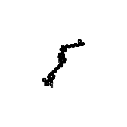 CCC(=O)CCCCCCc1ncc(-c2ccc3nc(OCCCCCN4CCC5(CC4)C[C@H]5C(N)=O)ccc3c2)o1